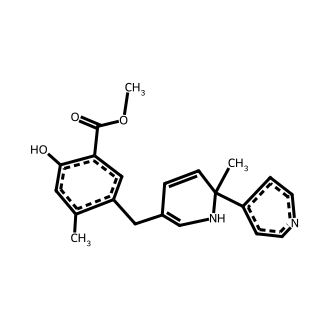 COC(=O)c1cc(CC2=CNC(C)(c3ccncc3)C=C2)c(C)cc1O